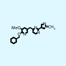 COc1cc(Cc2ccnc(-c3cnn(C)c3)n2)cnc1OCc1ccccc1